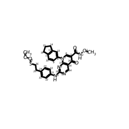 CONC(=O)c1cn(-c2ccc3c(c2)CCC3)c2nc(Nc3ccc(CCSOOC)cc3)ncc2c1=O